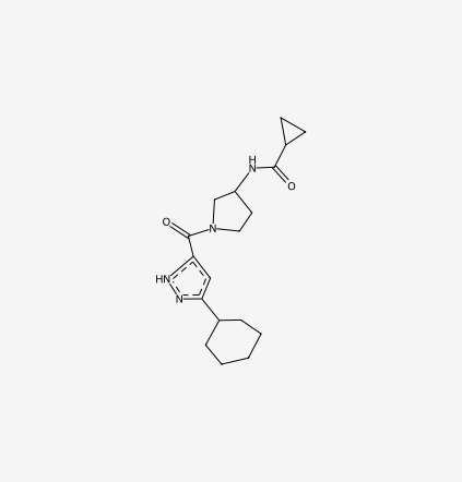 O=C(NC1CCN(C(=O)c2cc(C3CCCCC3)n[nH]2)C1)C1CC1